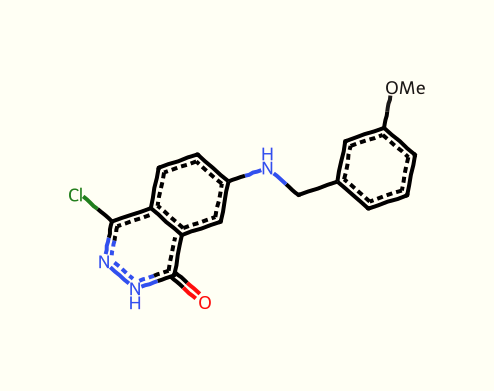 COc1cccc(CNc2ccc3c(Cl)n[nH]c(=O)c3c2)c1